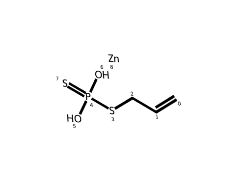 C=CCSP(O)(O)=S.[Zn]